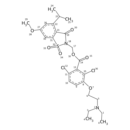 CCN(CC)CCOc1ccc(Cl)c(C(=O)OCN2C(=O)c3c(C(C)C)cc(OC)cc3S2(=O)=O)c1Cl